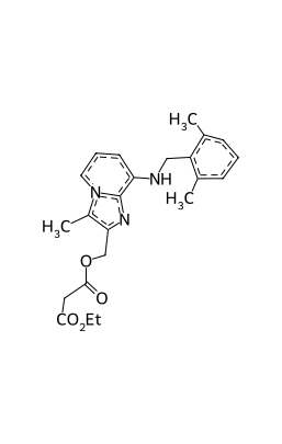 CCOC(=O)CC(=O)OCc1nc2c(NCc3c(C)cccc3C)cccn2c1C